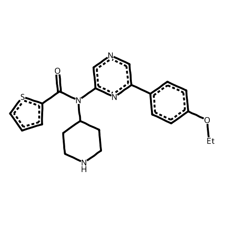 CCOc1ccc(-c2cncc(N(C(=O)c3cccs3)C3CCNCC3)n2)cc1